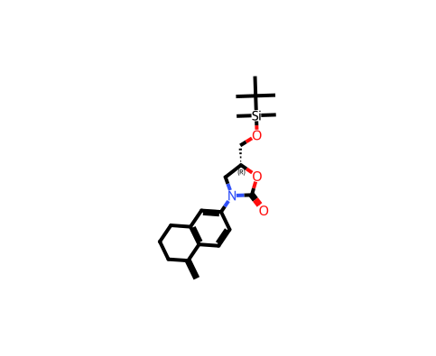 C=C1CCCc2cc(N3C[C@H](CO[Si](C)(C)C(C)(C)C)OC3=O)ccc21